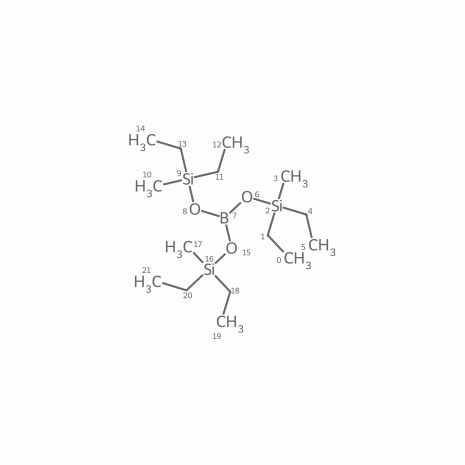 CC[Si](C)(CC)OB(O[Si](C)(CC)CC)O[Si](C)(CC)CC